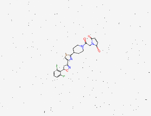 O=C(CN1C(=O)C=CC1=O)N1CCC(c2nc(C3=NOC(c4c(F)cccc4F)C3)cs2)CC1